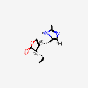 [2H]c1nc(C)n(C)c1C[C@H]1COC(=O)[C@H]1CC